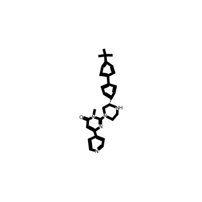 Cn1c(N2CCN[C@@H](c3ccc(-c4ccc(C(C)(C)C)cc4)cc3)C2)nc(-c2ccncc2)cc1=O